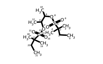 CCC(C)(C)S(=O)(=O)OC(C)C(C)OS(=O)(=O)C(C)(C)CC